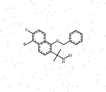 CCNC(C)(C)c1ccc2c(Br)c(F)ccc2c1OCc1ccccc1